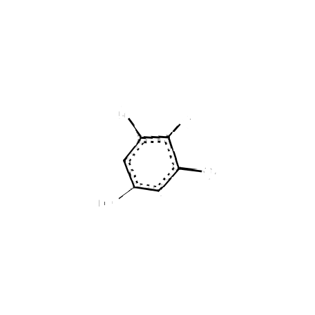 Cc1cc(Br)c(C(F)(F)F)c(C#N)c1